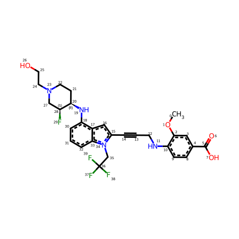 COc1cc(C(=O)O)ccc1NCC#Cc1cc2c(N[C@@H]3CCN(CCO)C[C@@H]3F)cccc2n1CC(F)(F)F